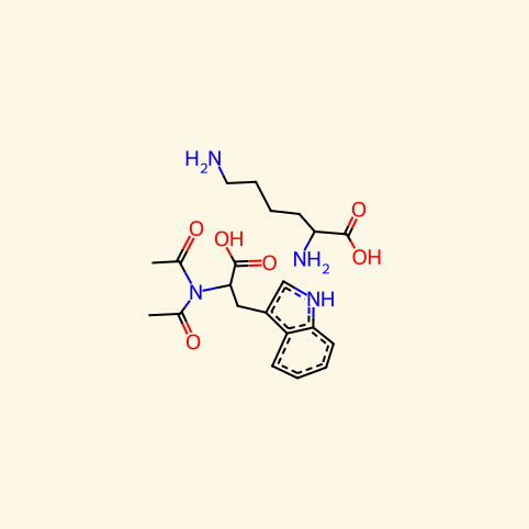 CC(=O)N(C(C)=O)C(Cc1c[nH]c2ccccc12)C(=O)O.NCCCCC(N)C(=O)O